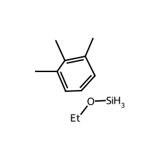 CCO[SiH3].Cc1cccc(C)c1C